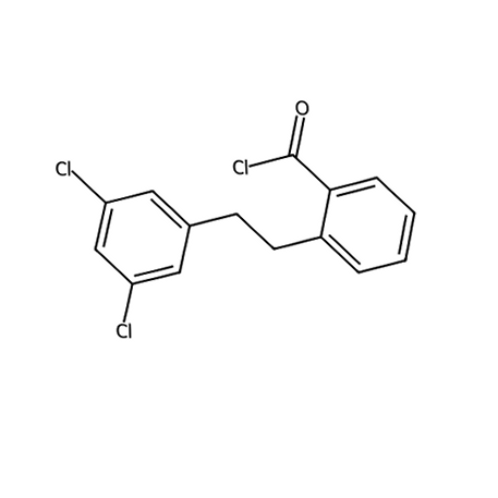 O=C(Cl)c1ccccc1CCc1cc(Cl)cc(Cl)c1